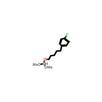 CO[SiH](OC)OCCCCCc1ccc(F)cc1